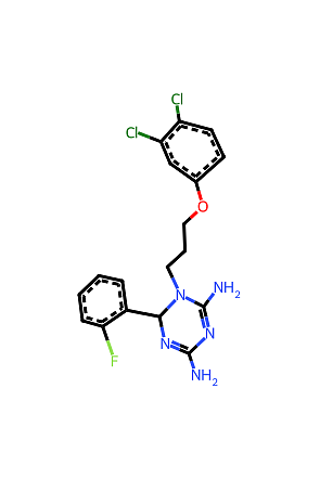 NC1=NC(c2ccccc2F)N(CCCOc2ccc(Cl)c(Cl)c2)C(N)=N1